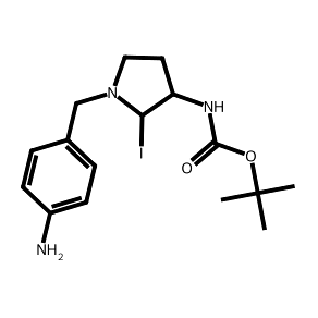 CC(C)(C)OC(=O)NC1CCN(Cc2ccc(N)cc2)C1I